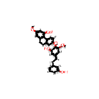 COc1cc(O)c2c(c1)CCc1cc(Oc3c(O)cc(CCc4cccc(O)c4)cc3OC)ccc1-2